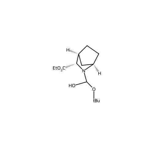 CCOC(=O)[C@@H]1[C@H]2CC[C@H](C2)N1C(O)OC(C)(C)C